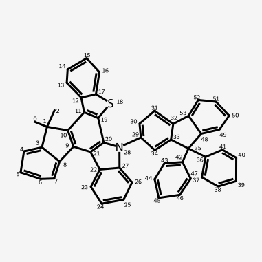 CC1(C)c2ccccc2-c2c1c1c3ccccc3sc1c1c2c2ccccc2n1-c1ccc2c(c1)C(c1ccccc1)(c1ccccc1)c1ccccc1-2